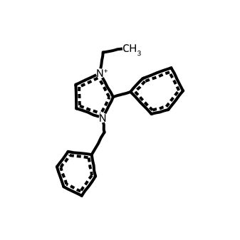 CC[n+]1ccn(Cc2ccccc2)c1-c1ccccc1